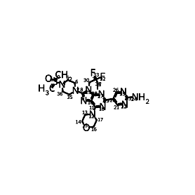 C=S(C)(=O)N1CCN(c2nc3c(N4CCOCC4)nc(-c4cnc(N)nc4)nc3n2CC(F)(F)F)CC1